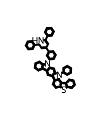 C1=C(c2cccc(-n3c4ccccc4c4cc5c6ccc7sc8ccccc8c7c6n(-c6ccccc6)c5cc43)c2)C=C(c2ccccc2)NC1c1ccccc1